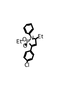 CCOP1(=O)C(c2ccc(Cl)cc2)=CC(CC)N1c1ccccc1